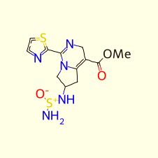 COC(=O)C1=C2CC(N[S+](N)[O-])CN2C(c2nccs2)=NC1